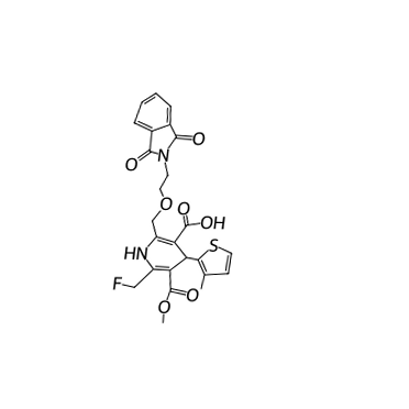 COC(=O)C1=C(CF)NC(COCCN2C(=O)c3ccccc3C2=O)=C(C(=O)O)C1c1sccc1C